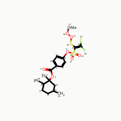 CCC1(OC(=O)c2ccc(OS(=O)(=O)C(SOOOC)=C(F)F)cc2)CC(C)CCC1C(C)C